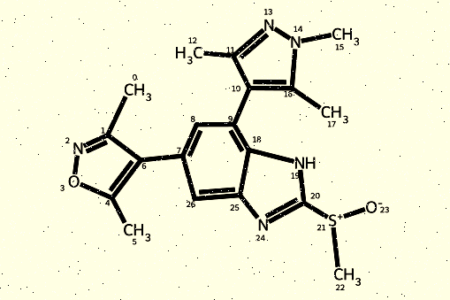 Cc1noc(C)c1-c1cc(-c2c(C)nn(C)c2C)c2[nH]c([S+](C)[O-])nc2c1